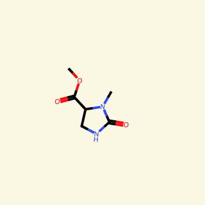 COC(=O)C1CNC(=O)N1C